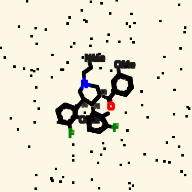 CNCCN1C[C@H](C(=O)c2cccc(OC)c2)[C@H](c2cccc(F)c2C)[C@@H](c2cc[c]c(F)c2OC)C1